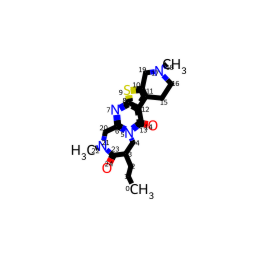 CCCC1Cn2c(nc3sc4c(c3c2=O)CCN(C)C4)CN(C)C1=O